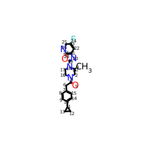 C[C@H]1CN(C(=O)Cc2ccc(C3CC3)cc2)CCN1c1nc2cc(F)cnc2o1